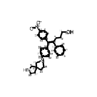 O=[N+]([O-])c1ccc(/C(=C(\CCCO)c2ccccc2)c2ccc(N3CCC4(CCNC4)C3)cc2)cc1